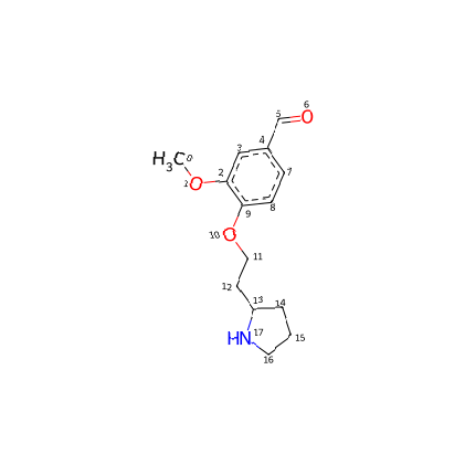 COc1cc(C=O)ccc1OCCC1CCCN1